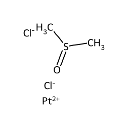 CS(C)=O.[Cl-].[Cl-].[Pt+2]